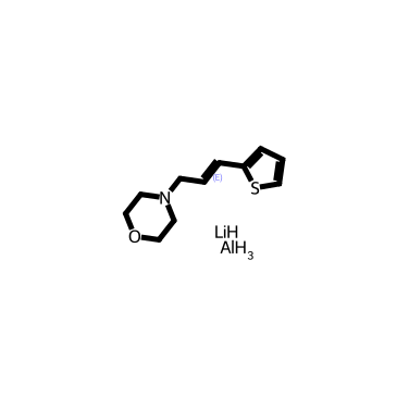 C(=C\c1cccs1)/CN1CCOCC1.[AlH3].[LiH]